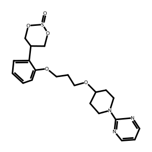 O=S1OCC(c2ccccc2OCCCOC2CCN(c3ncccn3)CC2)CO1